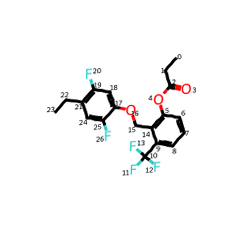 CCC(=O)Oc1cccc(C(F)(F)F)c1COc1cc(F)c(CC)cc1F